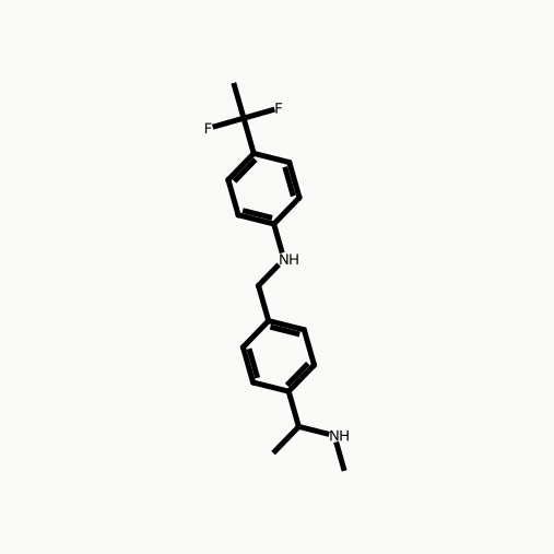 CNC(C)c1ccc(CNc2ccc(C(C)(F)F)cc2)cc1